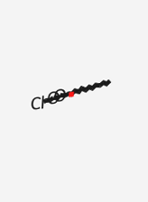 CCCCCCCCCCCCCCOCOCCCl